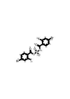 O=C(OS(=O)(=O)OC(=O)c1ccc(Br)cc1F)c1ccc(Br)cc1F